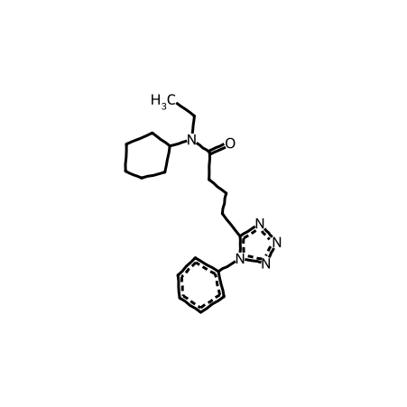 CCN(C(=O)CCCc1nnnn1-c1ccccc1)C1CCCCC1